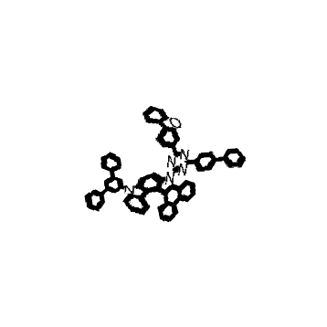 c1ccc(-c2ccc(-c3nc(-c4ccc5c(c4)oc4ccccc45)nc(-n4c5ccc6c(c7ccccc7n6-c6cc(-c7ccccc7)cc(-c7ccccc7)c6)c5c5c6ccccc6c6ccccc6c54)n3)cc2)cc1